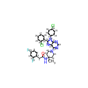 CC1(NC(=O)Cc2ccc(F)cc2F)CCN(c2ncnc3c2nc(-c2ccccc2Cl)n3-c2ccc(Cl)cc2)CC1